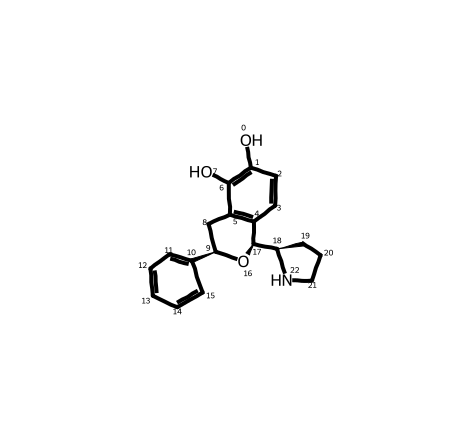 Oc1ccc2c(c1O)C[C@H](c1ccccc1)O[C@@H]2[C@H]1CCCN1